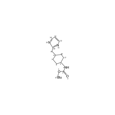 CC(C)(C)OC(=O)NC1CCC(Cc2ncccn2)CC1